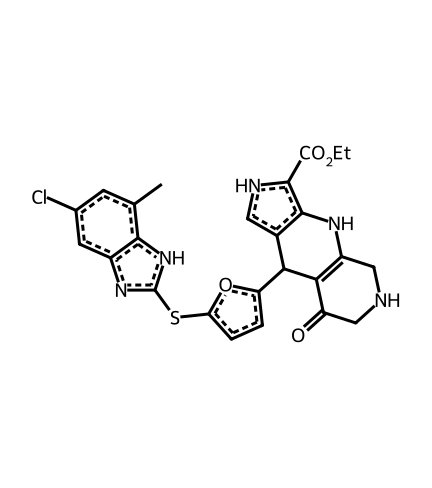 CCOC(=O)c1[nH]cc2c1NC1=C(C(=O)CNC1)C2c1ccc(Sc2nc3cc(Cl)cc(C)c3[nH]2)o1